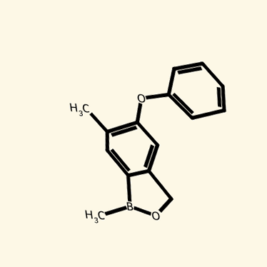 CB1OCc2cc(Oc3ccccc3)c(C)cc21